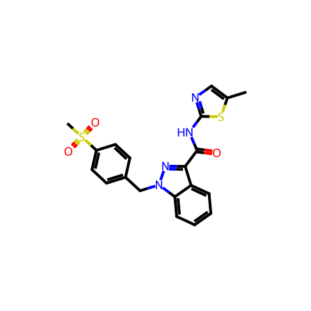 Cc1cnc(NC(=O)c2nn(Cc3ccc(S(C)(=O)=O)cc3)c3ccccc23)s1